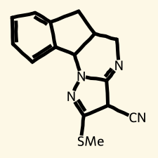 CSC1=NN2C(=NCC3Cc4ccccc4C32)C1C#N